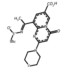 CC(=N[S+]([O-])C(C)(C)C)c1cc(C(=O)O)cn2c(=O)cc(N3CCOCC3)nc12